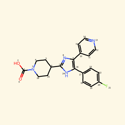 O=C(O)N1CCC(c2nc(-c3ccncc3)c(-c3ccc(F)cc3)[nH]2)CC1